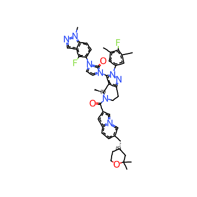 Cc1cc(-n2nc3c(c2-n2ccn(-c4ccc5c(cnn5C)c4F)c2=O)[C@H](C)N(C(=O)c2cc4ccc(C[C@H]5CCOC(C)(C)C5)cn4c2)CC3)cc(C)c1F